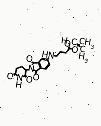 CC(C)(C)OC(=O)CCCNc1ccc2c(c1)C(=O)N(C1CCC(=O)NC1=O)C2=O